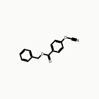 N#COc1ccc(C(=O)OCc2ccccc2)cc1